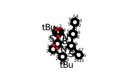 CC(C)(C)c1ccc(N2B3c4c(cc5c(sc6ccccc65)c4N(c4ccc(C(C)(C)C)cc4-c4ccccc4)c4ccc5sc6ccccc6c5c43)-c3ccc(-c4ccccc4)cc32)cc1